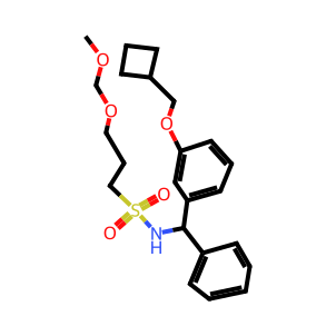 COCOCCCS(=O)(=O)NC(c1ccccc1)c1cccc(OCC2CCC2)c1